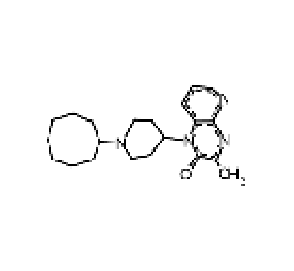 Cc1nc2ncccc2n(C2CCN(C3CCCCCCC3)CC2)c1=O